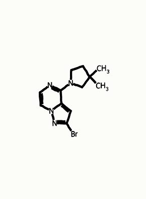 CC1(C)CCN(c2nccn3nc(Br)cc23)C1